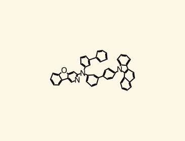 c1ccc(-c2cccc(N(c3cccc(-c4ccc(-n5c6ccccc6c6ccc7ccccc7c65)cc4)c3)c3cc4oc5ccccc5c4cn3)c2)cc1